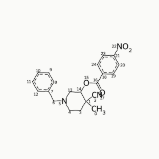 CC1(C#N)CCN(Cc2ccccc2)CC1OC(=O)c1ccc([N+](=O)[O-])cc1